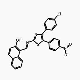 O=[N+]([O-])c1ccc(-c2sc(/N=C/c3c(O)ccc4ccccc34)nc2-c2ccc(Cl)cc2)cc1